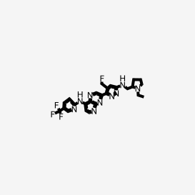 CCN1CCCC1CNc1cc(CF)c(-c2cnc3c(Nc4ccc(C(F)(F)F)cn4)ccnc3n2)nn1